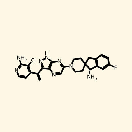 C=C(c1ccnc(N)c1Cl)c1n[nH]c2nc(N3CCC4(CC3)Cc3ccc(F)cc3[C@H]4N)cnc12